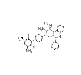 Nc1cc(N)c(F)c(-c2ccc(C3=Cc4c(-c5ccccc5)nc5ccccc5c4/C(=N/S)C3N)cc2)c1F